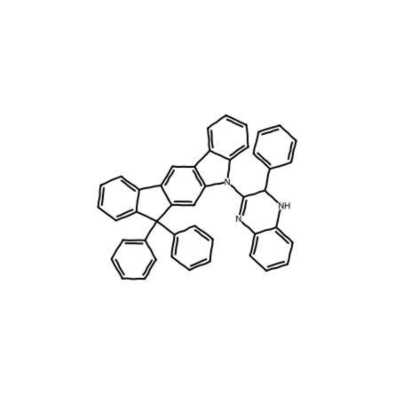 c1ccc(C2Nc3ccccc3N=C2n2c3ccccc3c3cc4c(cc32)C(c2ccccc2)(c2ccccc2)c2ccccc2-4)cc1